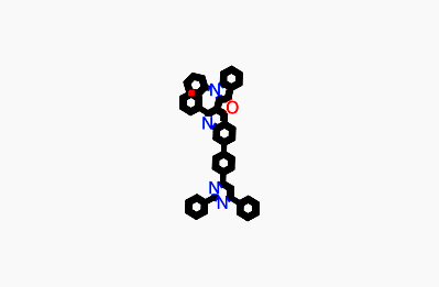 c1ccc(-c2cc(-c3ccc(-c4ccc5c(c4)nc(-c4ccccc4)c4c5oc5c6ccccc6n(-c6ccccc6)c54)cc3)nc(-c3ccccc3)n2)cc1